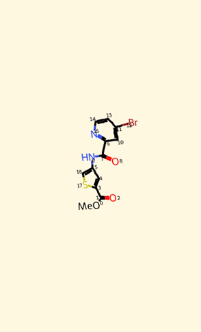 COC(=O)c1cc(NC(=O)c2cc(Br)ccn2)cs1